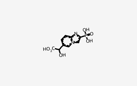 O=C(O)C(O)c1ccc2nc(P(=O)(O)O)cn2c1